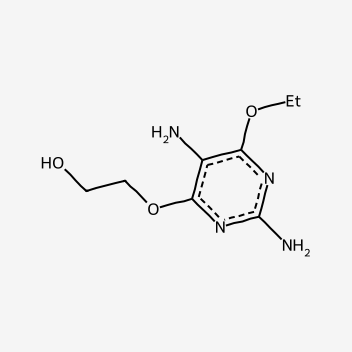 CCOc1nc(N)nc(OCCO)c1N